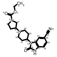 CCOC(=O)N1CCC(N2CCC(n3c(=O)[nH]c4ccc(C#N)cc43)CC2)C1